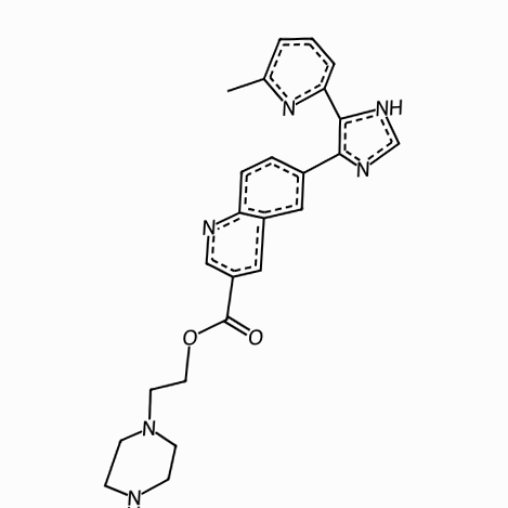 Cc1cccc(-c2[nH]cnc2-c2ccc3ncc(C(=O)OCCN4CCNCC4)cc3c2)n1